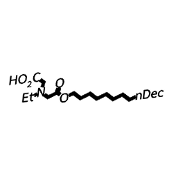 CCCCCCCCCCCCCCCCCCOC(=O)CN(CC)CC(=O)O